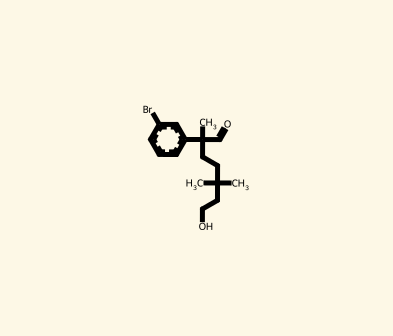 CC(C)(CCO)CCC(C)(C=O)c1cccc(Br)c1